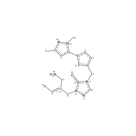 Cc1cc(-c2ccc(Cn3cnn(C/C(=C/F)CN)c3=O)s2)n(C)n1